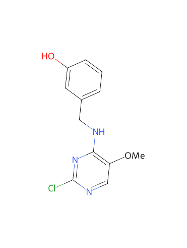 COc1cnc(Cl)nc1NCc1cccc(O)c1